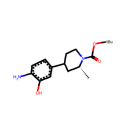 C[C@@H]1CC(c2ccc(N)c(O)c2)CCN1C(=O)OC(C)(C)C